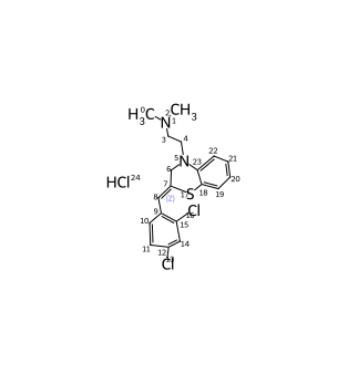 CN(C)CCN1C/C(=C/c2ccc(Cl)cc2Cl)Sc2ccccc21.Cl